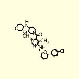 CO[C@@H]1COCC[C@@H]1NC1CCN(C(=O)c2ncnc(NC[C@H]3CCC[C@@H](C4C=CC(Cl)=CC4)O3)c2C)CC1